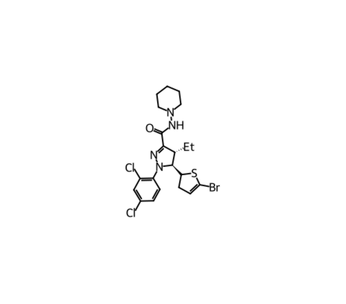 CC[C@H]1C(C(=O)NN2CCCCC2)=NN(c2ccc(Cl)cc2Cl)[C@@H]1C1CC=C(Br)S1